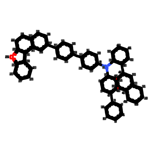 c1ccc(-c2ccc(N(c3ccc(-c4ccc(-c5ccc6ccc7oc8ccccc8c7c6c5)cc4)cc3)c3ccccc3-c3ccc4ccccc4c3)cc2)cc1